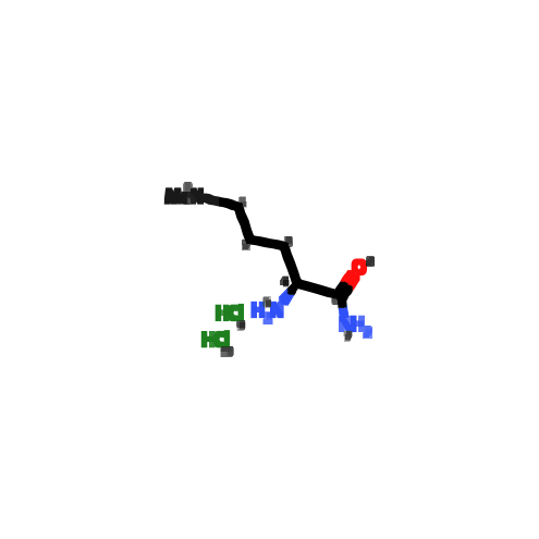 CNCCC[C@H](N)C(N)=O.Cl.Cl